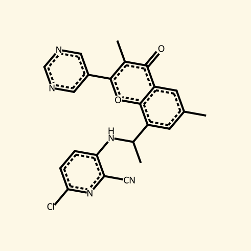 Cc1cc(C(C)Nc2ccc(Cl)nc2C#N)c2oc(-c3cncnc3)c(C)c(=O)c2c1